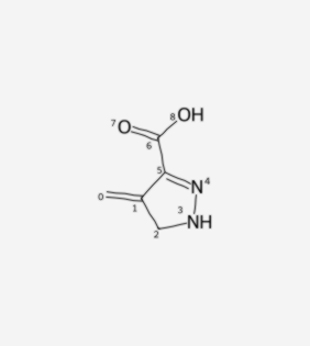 C=C1CNN=C1C(=O)O